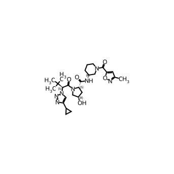 Cc1cc(C(=O)N2CCC[C@@H](NC(=O)[C@@H]3C[C@@H](O)CN3C(=O)[C@@H](n3cc(C4CC4)nn3)C(C)(C)C)C2)on1